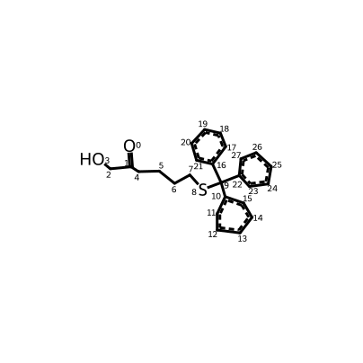 O=C(CO)CCCCSC(c1ccccc1)(c1ccccc1)c1ccccc1